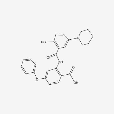 O=C(Nc1cc(Oc2ccccc2)ccc1C(=O)O)c1cc(N2CCCCC2)ccc1O